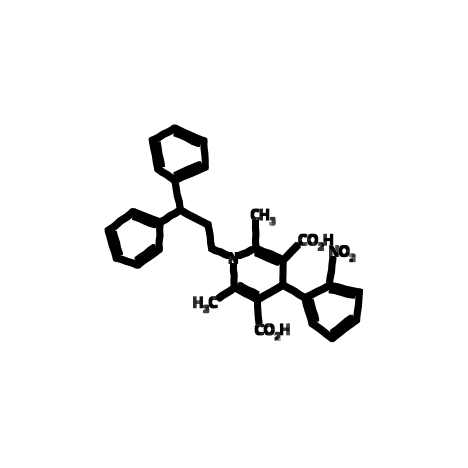 CC1=C(C(=O)O)C(c2ccccc2[N+](=O)[O-])C(C(=O)O)=C(C)N1CCC(c1ccccc1)c1ccccc1